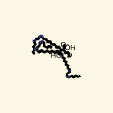 CCCCC/C=C\C/C=C\CCCCCCCCC(C(CCN(C)C)C(=O)O)C(O)(CCCCCCCC/C=C\C/C=C\CCCCC)CCCCCCCC/C=C\C/C=C\CCCCC